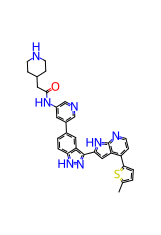 Cc1ccc(-c2ccnc3[nH]c(-c4n[nH]c5ccc(-c6cncc(NC(=O)CC7CCNCC7)c6)cc45)cc23)s1